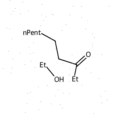 CCCCCCCC(=O)CC.CCO